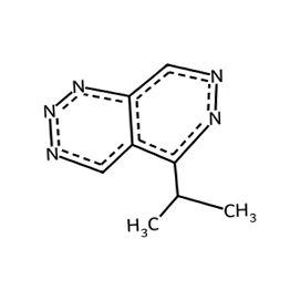 CC(C)c1nncc2nnncc12